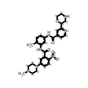 Cc1ccc(NC(=O)c2ccnc(C3CNCCO3)c2)cc1NC(=O)c1cc(N2CCN(C)CC2)ccc1[N+](=O)[O-]